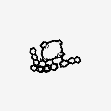 C1=Cc2cc3[nH]c(c(-c4cccc5cc6ccccc6cc45)c4nc(cc5ccc(cc1n2)[nH]5)C=C4c1cccc2cc4ccccc4cc12)c(-c1cccc2cc4ccccc4cc12)c3-c1cccc2cc3ccccc3cc12